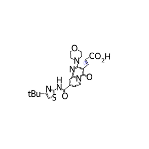 CC(C)(C)c1csc(NC(=O)c2ccn3c(=O)c(/C=C/C(=O)O)c(N4CCOCC4)nc3c2)n1